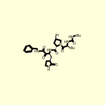 CC(C)[C@@H]1C[C@@H](C(=O)N[C@@H](C[C@@H]2CCNC2=O)C(=O)C(=O)NCc2ccccc2)N(C(=O)[C@@H](NC(=O)NC(C)(C)C)C(C)(C)C)C1